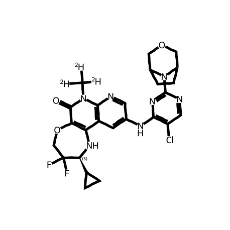 [2H]C([2H])([2H])n1c(=O)c2c(c3cc(Nc4nc(N5C6CCC5COC6)ncc4Cl)cnc31)N[C@@H](C1CC1)C(F)(F)CO2